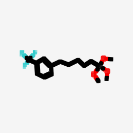 CO[Si](CCCCCc1cccc(C(F)(F)F)c1)(OC)OC